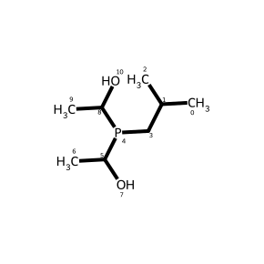 CC(C)CP(C(C)O)C(C)O